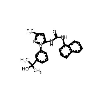 CC(C)(O)c1cccc(-n2nc(C(F)(F)F)cc2NC(=O)Nc2cccc3ccccc23)c1